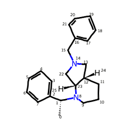 C[C@H](c1ccccc1)N1CCC[C@H]2CN(Cc3ccccc3)C[C@H]21